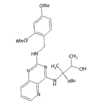 CCCCC(C)(Nc1nc(NCc2ccc(OC)cc2OC)nc2cccnc12)C(C)O